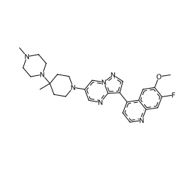 COc1cc2c(-c3cnn4cc(N5CCC(C)(N6CCN(C)CC6)CC5)cnc34)ccnc2cc1F